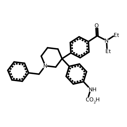 CCN(CC)C(=O)c1ccc(C2(c3ccc(NC(=O)O)cc3)CCCN(Cc3ccccc3)C2)cc1